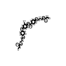 C=CC(=O)OCCCOc1ccc(Oc2ccc(OC(=O)c3ccc(OCCCOC(=O)C=C)cc3)c(C)c2)cc1